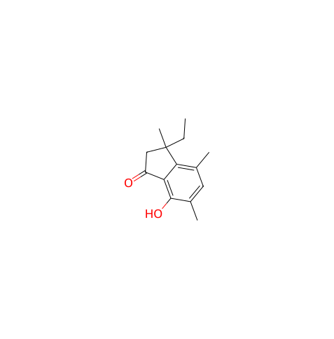 CCC1(C)CC(=O)c2c(O)c(C)cc(C)c21